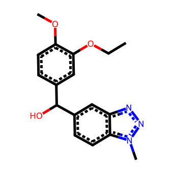 CCOc1cc(C(O)c2ccc3c(c2)nnn3C)ccc1OC